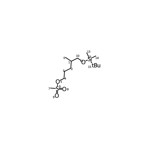 CC(CCCOS(C)(=O)=O)CO[Si](C)(C)C(C)(C)C